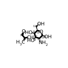 CC(C)C=O.N[C@@H]1[C@@H](O)[C@H](O)[C@@H](CO)O[C@H]1O